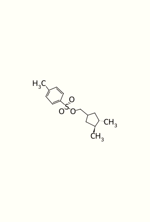 Cc1ccc(S(=O)(=O)OCC2C[C@H](C)[C@@H](C)C2)cc1